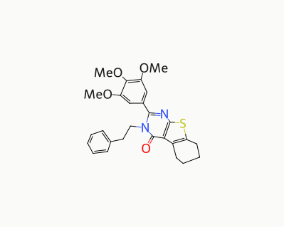 COc1cc(-c2nc3sc4c(c3c(=O)n2CCc2ccccc2)CCCC4)cc(OC)c1OC